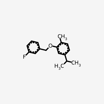 Cc1ccc(C(C)C)cc1OCc1cccc(F)c1